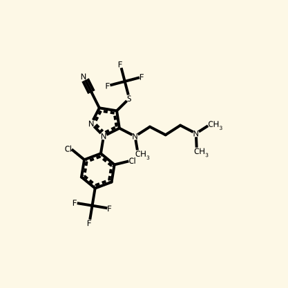 CN(C)CCCN(C)c1c(SC(F)(F)F)c(C#N)nn1-c1c(Cl)cc(C(F)(F)F)cc1Cl